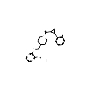 COc1nccnc1NCC1CCN(C(=O)C2CC2c2ccccc2F)CC1